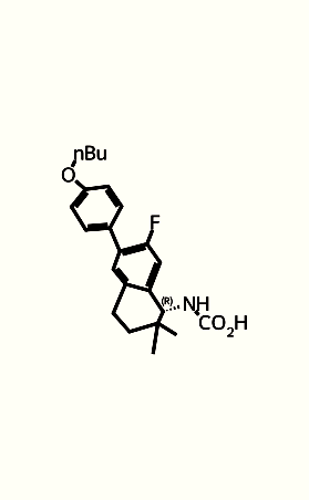 CCCCOc1ccc(-c2cc3c(cc2F)[C@H](NC(=O)O)C(C)(C)CC3)cc1